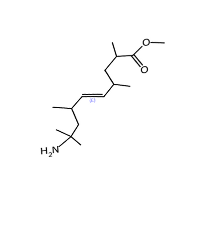 COC(=O)C(C)CC(C)/C=C/C(C)CC(C)(C)N